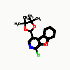 CC1(C)OB(c2cnc(Cl)c3oc4ccccc4c23)OC1(C)C